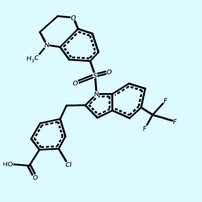 CN1CCOc2ccc(S(=O)(=O)n3c(Cc4ccc(C(=O)O)c(Cl)c4)cc4cc(C(F)(F)F)ccc43)cc21